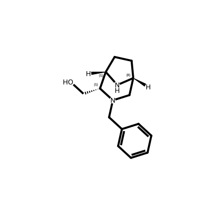 OC[C@@H]1[C@@H]2CC[C@H](CN1Cc1ccccc1)N2